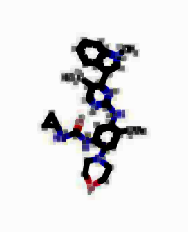 COc1cc(N2CCOCC2)c(NC(=O)NC2CC2)cc1Nc1ncc(C(=O)O)c(-c2cn(C)c3ccccc23)n1